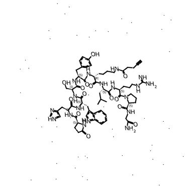 C#CCCC(=O)NCCCC[C@@H](NC(=O)[C@H](Cc1ccc(O)cc1)NC(=O)[C@H](CO)NC(=O)[C@H](Cc1c[nH]c2ccccc12)NC(=O)[C@H](Cc1c[nH]cn1)NC(=O)[C@@H]1CCC(=O)N1)C(=O)N[C@@H](CC(C)C)C(=O)N[C@@H](CCCNC(=N)N)C(=O)N1CCC[C@H]1C(=O)NCC(N)=O